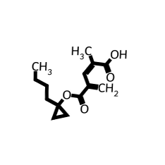 C=C(C=C(C)C(=O)O)C(=O)OC1(CCCC)CC1